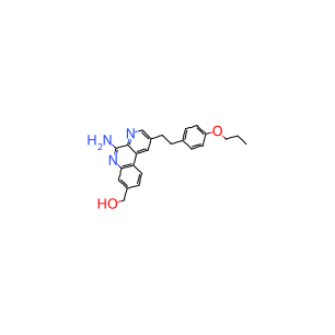 CCCOc1ccc(CCc2cnc3c(N)nc4cc(CO)ccc4c3c2)cc1